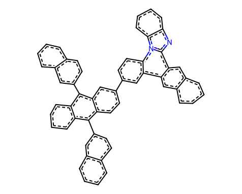 c1ccc2cc(-c3c4ccccc4c(-c4ccc5ccccc5c4)c4cc(-c5ccc6c(c5)c5cc7ccccc7cc5c5nc7ccccc7n65)ccc34)ccc2c1